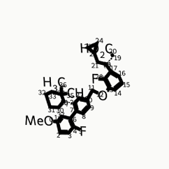 COc1ccc(F)c(-c2ccc(COc3cccc([C@@H](CC(=O)O)CC4CC4)c3F)cc2[C@@H]2CCCCC2(C)C)c1